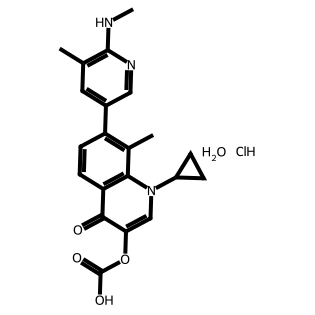 CNc1ncc(-c2ccc3c(=O)c(OC(=O)O)cn(C4CC4)c3c2C)cc1C.Cl.O